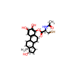 CC(=O)N[C@@H](CS)C(=O)Oc1c(O)c(O)cc2c1CCC1C2CC[C@@]2(C)C1CC[C@@H]2O